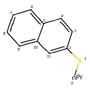 [CH2]CCSc1ccc2ccccc2c1